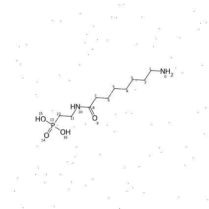 NCCCCCCCC(=O)NCCP(=O)(O)O